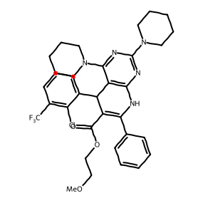 COCCOC(=O)C1=C(c2ccccc2)Nc2nc(N3CCCCC3)nc(N3CCCCC3)c2C1c1cccc(C(F)(F)F)c1Cl